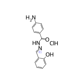 Cl.Nc1ccc(C(=O)N/N=C/c2ccccc2O)cc1